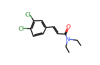 CCN(CC)C(=O)C=Cc1ccc(Cl)c(Cl)c1